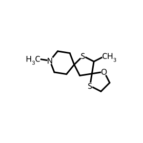 CC1SC2(CCN(C)CC2)CC12OCCS2